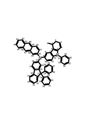 CC1CC=Cc2c1c1cc(N(c3ccc4c(c3)C(c3ccccc3)(c3ccccc3)c3ccccc3-4)c3ccc4cc5ccccc5cc4c3)ccc1n2-c1ccccc1